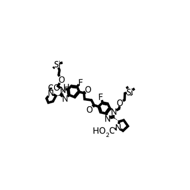 C[Si](C)(C)CCOCn1c([C@@H]2CCCN2C(=O)O)nc2cc(C(=O)CCC(=O)c3cc4nc([C@@H]5CCCN5C(=O)O)n(COCC[Si](C)(C)C)c4cc3F)c(F)cc21